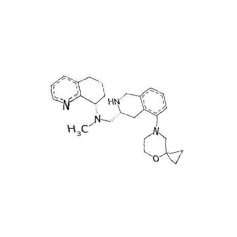 CN(C[C@H]1Cc2c(cccc2N2CCOC3(CC3)C2)CN1)[C@H]1CCCc2cccnc21